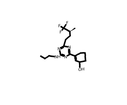 CCCNc1nc(CC[C@H](C)C(F)(F)F)nc(C2=CC(O)CCC2)n1